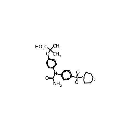 CC(C)(Oc1ccc(N(C(N)=O)c2ccc(S(=O)(=O)N3CCOCC3)cc2)cc1)C(=O)O